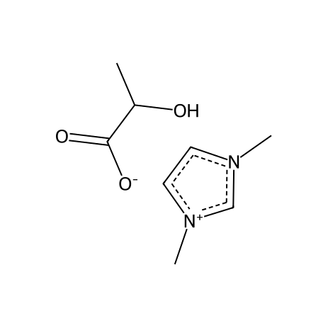 CC(O)C(=O)[O-].Cn1cc[n+](C)c1